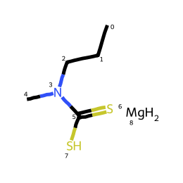 CCCN(C)C(=S)S.[MgH2]